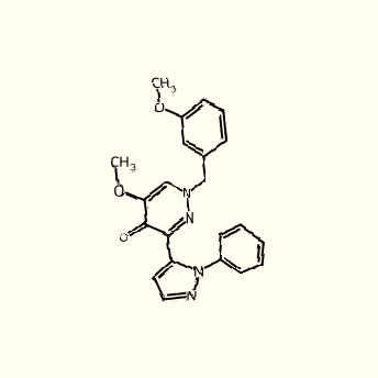 COc1cccc(Cn2cc(OC)c(=O)c(-c3ccnn3-c3ccccc3)n2)c1